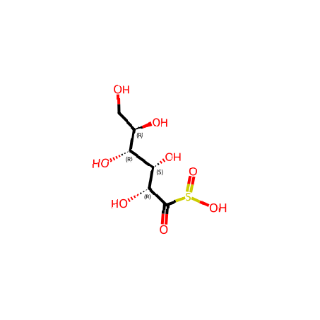 O=C([C@H](O)[C@@H](O)[C@H](O)[C@H](O)CO)S(=O)O